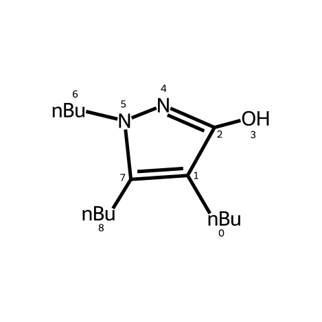 CCCCc1c(O)nn(CCCC)c1CCCC